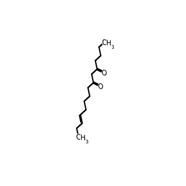 CCC=CCCCCC(=O)CC(=O)CCCC